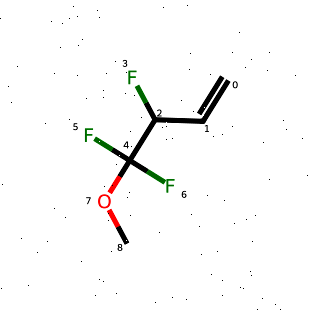 C=CC(F)C(F)(F)OC